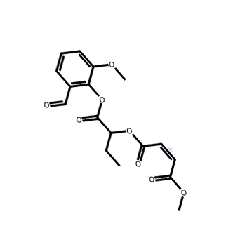 CCC(OC(=O)/C=C\C(=O)OC)C(=O)Oc1c(C=O)cccc1OC